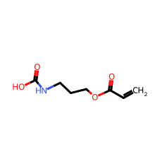 C=CC(=O)OCCCNC(=O)O